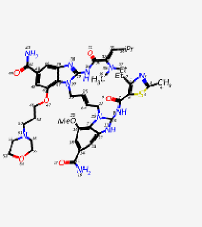 CCc1nc(C)sc1C(=O)NC1Nc2cc(C(N)=O)cc(OC)c2N1C/C=C/Cn1c(NC(=O)/C(=C/C(C)C)N(C)CC)nc2cc(C(N)=O)cc(OCCCN3CCOCC3)c21